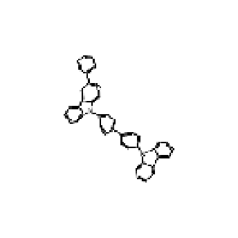 c1ccc(-c2cc3c4ccccc4n(-c4ccc(-c5ccc(-n6c7ccccc7c7ccccc76)cc5)cc4)c3cn2)cc1